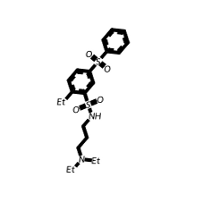 CCc1ccc(S(=O)(=O)c2ccccc2)cc1S(=O)(=O)NCCCN(CC)CC